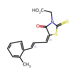 Cc1ccccc1/C=C/C=C1/SC(=S)N(CC(=O)O)C1=O